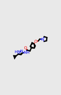 O=C(Cc1ccc(OCCN2CCCC2)cc1)Nc1cc(C2CC2)[nH]n1